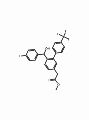 COC(=O)Cc1ccc(C(O)c2ccc(F)cc2)c(-c2ccc(C(F)(F)F)cc2)c1